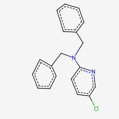 Clc1ccc(N(Cc2ccccc2)Cc2ccccc2)nc1